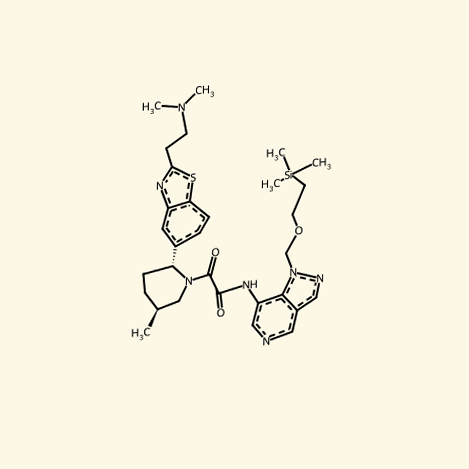 C[C@H]1CC[C@H](c2ccc3sc(CCN(C)C)nc3c2)N(C(=O)C(=O)Nc2cncc3cnn(COCC[Si](C)(C)C)c23)C1